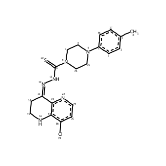 Cc1ccc(N2CCN(C(=S)N/N=C3/CCNc4c(Cl)ccnc43)CC2)cc1